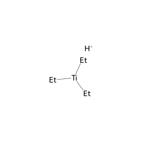 C[CH2][Ti]([CH2]C)[CH2]C.[H-]